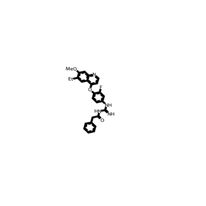 CCc1cc2c(Oc3ccc(NC(=N)NC(=O)Cc4ccccc4)cc3F)ccnc2cc1OC